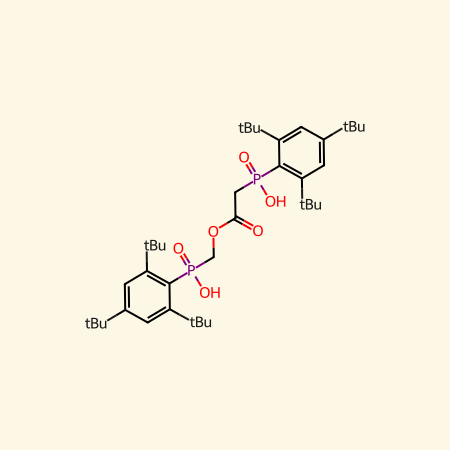 CC(C)(C)c1cc(C(C)(C)C)c(P(=O)(O)COC(=O)CP(=O)(O)c2c(C(C)(C)C)cc(C(C)(C)C)cc2C(C)(C)C)c(C(C)(C)C)c1